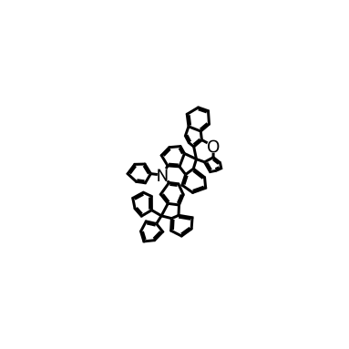 c1ccc(N(c2ccc3c(c2)C(c2ccccc2)(c2ccccc2)c2ccccc2-3)c2cccc3c2-c2ccccc2C32c3ccccc3Oc3c2ccc2ccccc32)cc1